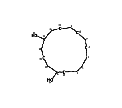 OC1CCCCCCCCCCC(O)CCC1